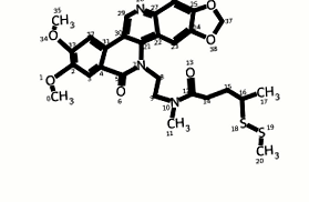 COc1cc2c(=O)n(CCN(C)C(=O)CCC(C)SSC)c3c4cc5c(cc4ncc3c2cc1OC)OCO5